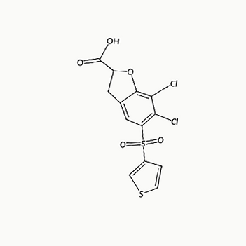 O=C(O)C1Cc2cc(S(=O)(=O)c3ccsc3)c(Cl)c(Cl)c2O1